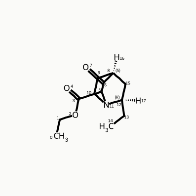 CCOC(=O)C1C(=O)[C@H]2CCN1[C@H](CC)C2